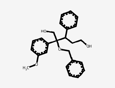 COc1cccc(C(CO)(OCc2ccccc2)C(CCO)c2ccccc2)c1